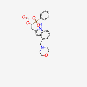 O=COC(Cc1cc2c(CN3CCOCC3)cccc2[nH]1)S(=O)(=O)c1ccccc1